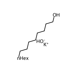 CCCCCCCCCCCCCCO.[K+].[OH-]